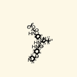 CC(=O)OCC(=O)Nc1ccc(-n2nc(C(C)(C)C)cc2NC(=O)Nc2ccc(Oc3ccncc3)cc2)cc1